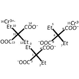 CCC(CC)(C(=O)[O-])C(=O)[O-].CCC(CC)(C(=O)[O-])C(=O)[O-].CCC(CC)(C(=O)[O-])C(=O)[O-].[Cr+3].[Cr+3]